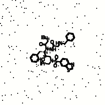 CC[C@H](C)CC(=O)N(NC(=O)CNCc1ccccc1)[C@@H](Cc1ccccc1)[C@H](O)CN(CC(C)C)S(=O)(=O)c1ccc2ncsc2c1